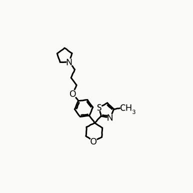 Cc1csc(C2(c3ccc(OCCCN4CCCC4)cc3)CCOCC2)n1